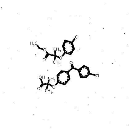 CC(C)(Oc1ccc(C(=O)c2ccc(Cl)cc2)cc1)C(=O)O.CCOC(=O)C(C)(C)Oc1ccc(Cl)cc1